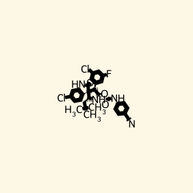 CC(C)(C)C[C@@H]1N[C@H](OC(=O)Nc2ccc(C#N)cc2)[C@H](c2cc(F)cc(Cl)c2)[C@]12C(=O)Nc1cc(Cl)ccc12